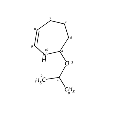 CC(C)OC1CCCC=CN1